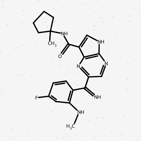 CNc1cc(F)ccc1C(=N)c1cnc2[nH]cc(C(=O)NC3(C)CCCC3)c2n1